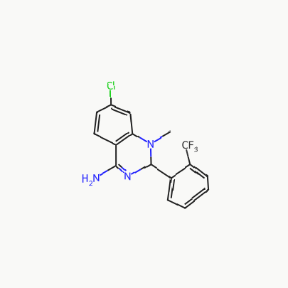 CN1c2cc(Cl)ccc2C(N)=NC1c1ccccc1C(F)(F)F